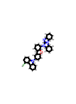 Fc1cccc2c1c1ccccc1n2-c1ccc2oc3c(-n4c5ccccc5n5c6ccccc6nc45)cccc3c2c1